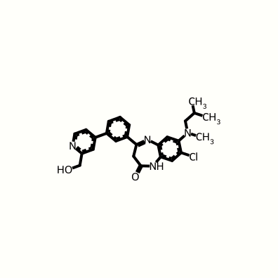 CC(C)CN(C)c1cc2c(cc1Cl)NC(=O)CC(c1cccc(-c3ccnc(CO)c3)c1)=N2